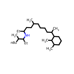 CCCCC(C)C(CC)NC(CC)CCC(C)CCCCC(C)C1CCCC(C)C1C